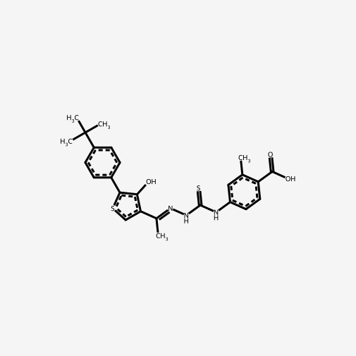 C/C(=N\NC(=S)Nc1ccc(C(=O)O)c(C)c1)c1csc(-c2ccc(C(C)(C)C)cc2)c1O